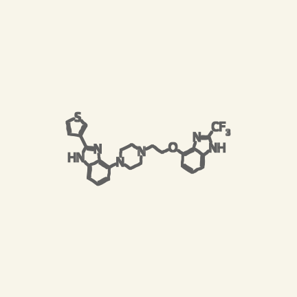 FC(F)(F)c1nc2c(OCCN3CCN(c4cccc5[nH]c(-c6ccsc6)nc45)CC3)cccc2[nH]1